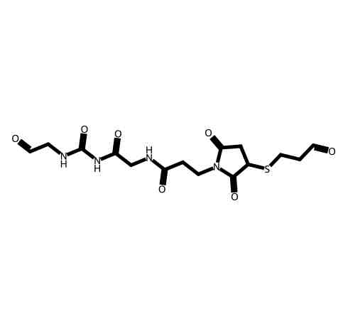 O=CCCSC1CC(=O)N(CCC(=O)NCC(=O)NC(=O)NCC=O)C1=O